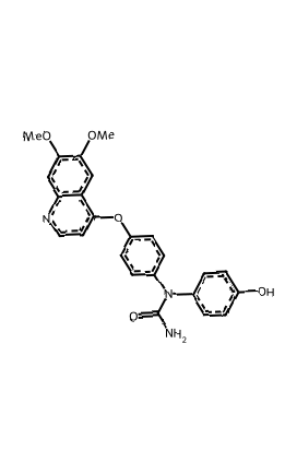 COc1cc2nccc(Oc3ccc(N(C(N)=O)c4ccc(O)cc4)cc3)c2cc1OC